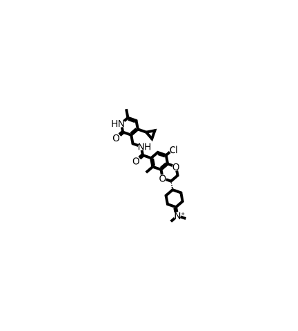 Cc1cc(C2CC2)c(CNC(=O)c2cc(Cl)c3c(c2C)O[C@@H](C2CCC(=[N+](C)C)CC2)CO3)c(=O)[nH]1